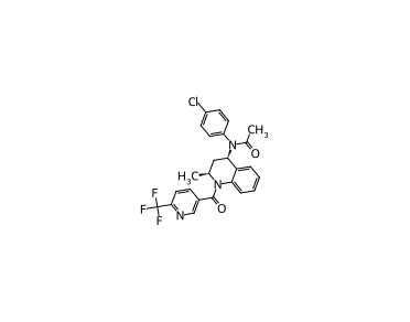 CC(=O)N(c1ccc(Cl)cc1)[C@@H]1C[C@H](C)N(C(=O)c2ccc(C(F)(F)F)nc2)c2ccccc21